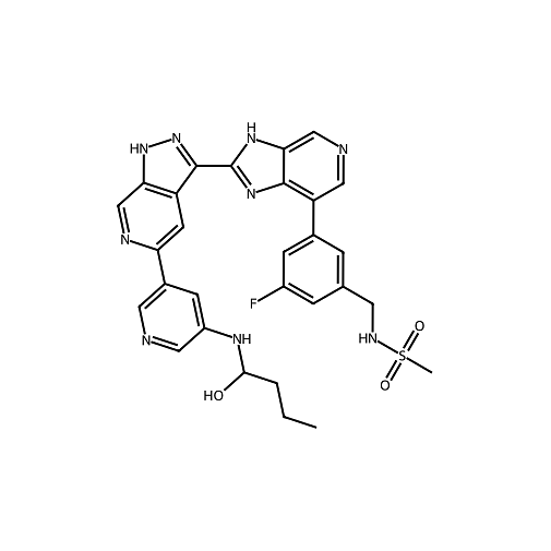 CCCC(O)Nc1cncc(-c2cc3c(-c4nc5c(-c6cc(F)cc(CNS(C)(=O)=O)c6)cncc5[nH]4)n[nH]c3cn2)c1